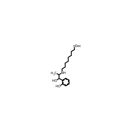 CCCCCCCCCCCCCCCCCCNC(C)C(O)c1ccccc1O